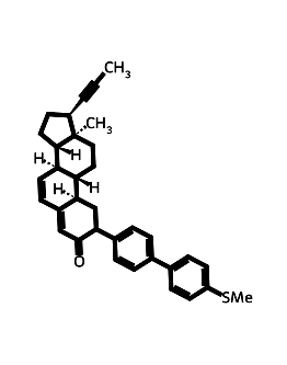 CC#C[C@@H]1CC[C@H]2[C@@H]3C=CC4=CC(=O)C(c5ccc(-c6ccc(SC)cc6)cc5)C[C@@H]4[C@H]3CC[C@]12C